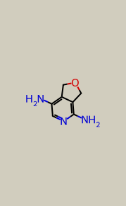 Nc1cnc(N)c2c1COC2